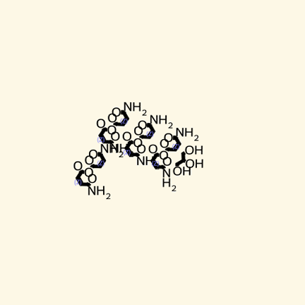 NC(=O)/C=C\C(=O)OC(=O)/C=C\C(N)=O.NC(=O)/C=C\C(=O)OC(=O)/C=C\C(N)=O.NC(=O)/C=C\C(=O)OC(=O)/C=C\C(N)=O.NC(=O)/C=C\C(=O)OC(=O)/C=C\C(N)=O.OCC(O)CO